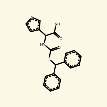 [NH]C(=O)C(NC(=O)OC(c1ccccc1)c1ccccc1)c1ccsc1